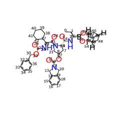 CC[C@H](NC(=O)[C@@H]1C[C@@H](OC(=O)N2Cc3ccccc3C2)CN1C(=O)[C@@H](NC(=O)OCc1ccccc1)C1CCCCC1)B1O[C@@H]2C[C@@H]3C[C@@H](C3(C)C)[C@]2(C)O1